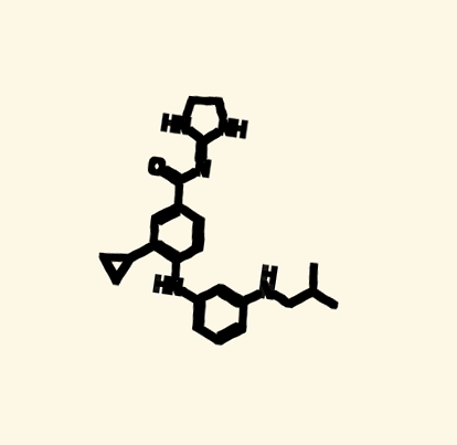 CC(C)CNc1cccc(Nc2ccc(C(=O)N=C3NCCN3)cc2C2CC2)c1